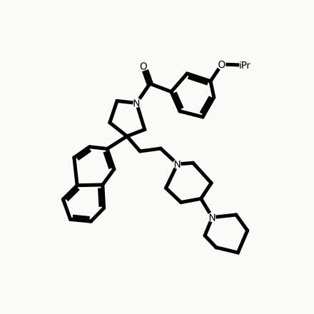 CC(C)Oc1cccc(C(=O)N2CCC(CCN3CCC(N4CCCCC4)CC3)(c3ccc4ccccc4c3)C2)c1